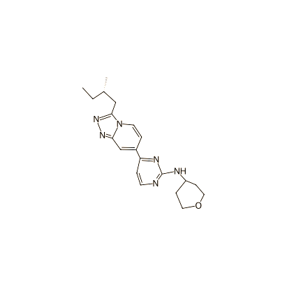 CC[C@H](C)Cc1nnc2cc(-c3ccnc(NC4CCOCC4)n3)ccn12